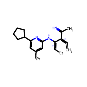 C/C=C(C(C)=N)\C(=C/CC)Nc1cc(CCC)cc(C2CCCC2)n1